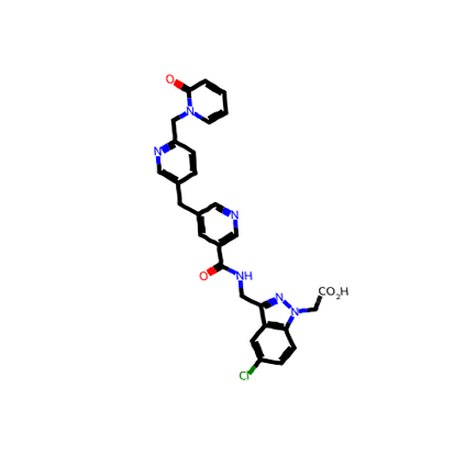 O=C(O)Cn1nc(CNC(=O)c2cncc(Cc3ccc(Cn4ccccc4=O)nc3)c2)c2cc(Cl)ccc21